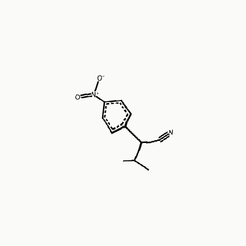 CC(C)C(C#N)c1ccc([N+](=O)[O-])cc1